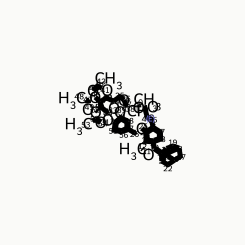 COC(=O)/C=C/c1ccc(C(OC)=C2C3CC4CC(C3)CC2C4)cc1OCc1ccc(O[C@@H]2OC(COC(C)=O)[C@H](OC(C)=O)C(OC(C)=O)[C@@H]2OC(C)=O)cc1